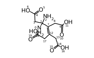 NC(N)(CC(=O)O)C(CC(=O)O)=C(CC(=O)O)CC(=O)O